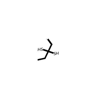 [CH2]CC(S)(S)CC